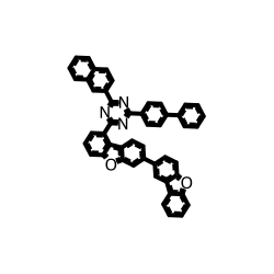 c1ccc(-c2ccc(-c3nc(-c4ccc5ccccc5c4)nc(-c4cccc5oc6cc(-c7ccc8oc9ccccc9c8c7)ccc6c45)n3)cc2)cc1